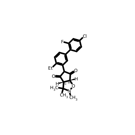 CCc1ccc(-c2ccc(Cl)cc2F)cc1C1C(=O)[C@@H]2[C@@H](ON(C)C2(C)C)C1=O